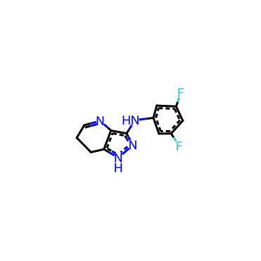 Fc1cc(F)cc(Nc2n[nH]c3c2N=CCC3)c1